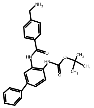 CC(C)(C)OC(=O)Nc1ccc(-c2ccccc2)cc1NC(=O)c1ccc(CN)cc1